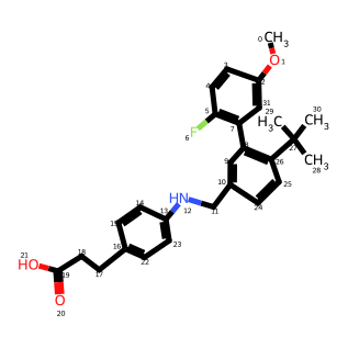 COc1ccc(F)c(-c2cc(CNc3ccc(CCC(=O)O)cc3)ccc2C(C)(C)C)c1